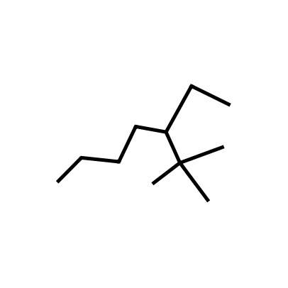 CCCCC(CC)C(C)(C)C